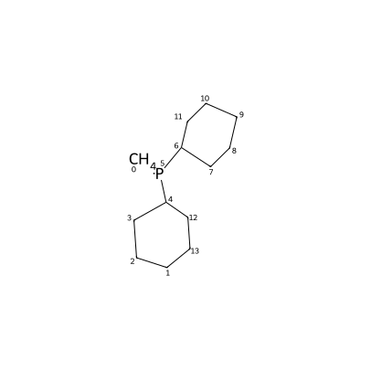 C.C1CCC([P]C2CCCCC2)CC1